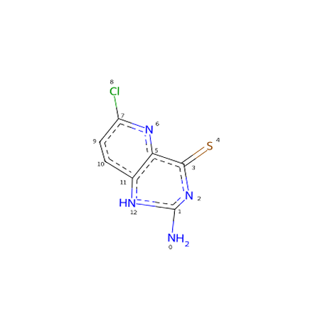 Nc1nc(=S)c2nc(Cl)ccc2[nH]1